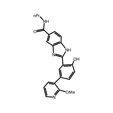 CCCNC(=O)c1ccc2[nH]c(-c3cc(-c4cccnc4OC)ccc3O)nc2c1